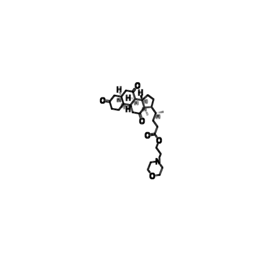 C[C@H](CCC(=O)OCCN1CCOCC1)C1CC[C@H]2[C@@H]3C(=O)C[C@@H]4CC(=O)CC[C@]4(C)[C@H]3CC(=O)[C@]12C